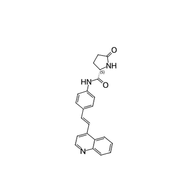 O=C1CC[C@@H](C(=O)Nc2ccc(C=Cc3ccnc4ccccc34)cc2)N1